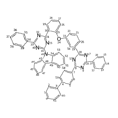 c1ccc(-c2ccc(-c3nc(-c4ccccc4)nc(-c4cccc(Oc5ccccc5-c5nc(-c6ccccc6)nc(-n6c7ccccc7c7ccccc76)n5)c4)n3)cc2)cc1